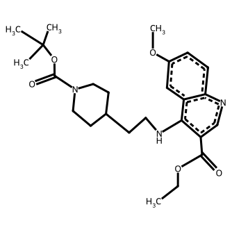 CCOC(=O)c1cnc2ccc(OC)cc2c1NCCC1CCN(C(=O)OC(C)(C)C)CC1